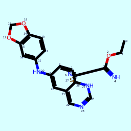 CCOC(=N)C1=NC2=CC(Nc3ccc4c(c3)OCO4)=CC3=CN=CNC32S1